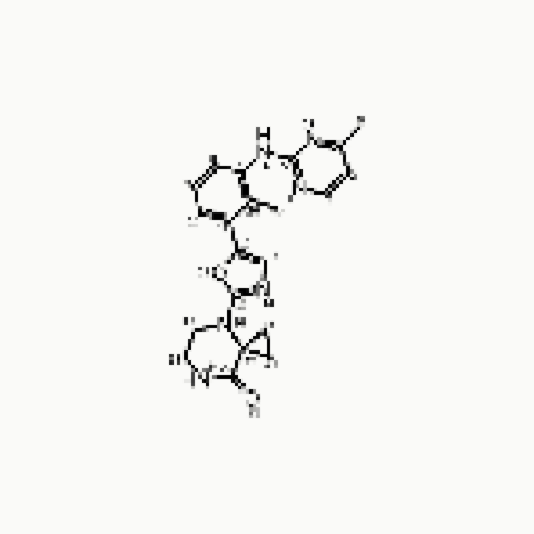 Cc1ccnc(Nc2cccc(-c3cnc(N4CCNC(=O)C45CC5)o3)c2C)n1